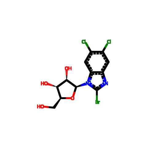 OC[C@@H]1O[C@H](n2c(Br)nc3cc(Cl)c(Cl)cc32)[C@@H](O)[C@H]1O